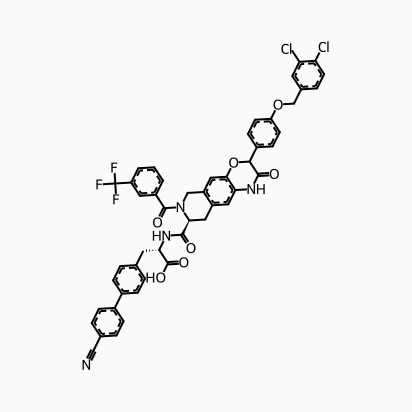 N#Cc1ccc(-c2ccc(C[C@H](NC(=O)[C@@H]3Cc4cc5c(cc4CN3C(=O)c3cccc(C(F)(F)F)c3)OC(c3ccc(OCc4ccc(Cl)c(Cl)c4)cc3)C(=O)N5)C(=O)O)cc2)cc1